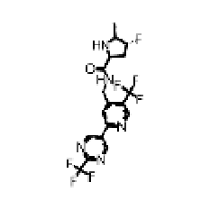 CC1NC(C(=O)NCc2cc(-c3cnc(C(F)(F)F)nc3)ncc2C(F)(F)F)C[C@H]1F